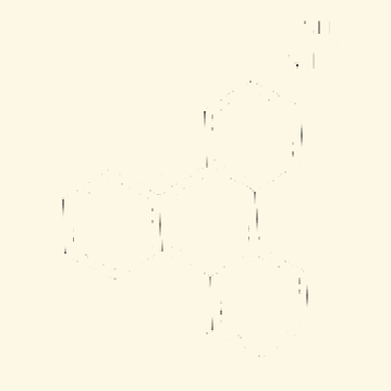 N.N.c1ccc2c(c1)c1ccccc1c1ccccc21